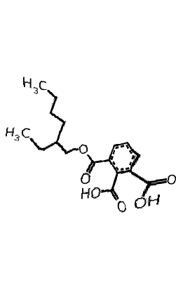 CCCCC(CC)COC(=O)c1cccc(C(=O)O)c1C(=O)O